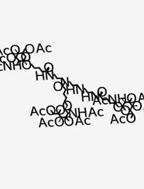 CC(=O)NC1C(OC(C)=O)[C@@H](OC(C)=O)C(COC(C)=O)O[C@H]1OCCCCC(=O)NCCCN(CCCNCCCNC(=O)CCCCO[C@@H]1OC(COC(C)=O)[C@H](OC(C)=O)C(OC(C)=O)[C@@H]1NC(C)=O)C(=O)CCCCO[C@@H]1OC(COC(C)=O)[C@H](OC(C)=O)C(OC(C)=O)C1NC(C)=O